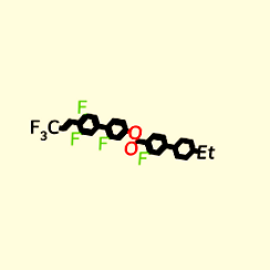 CCC1CCC(c2ccc(C(=O)Oc3ccc(-c4cc(F)c(/C=C/C(F)(F)F)c(F)c4)c(F)c3)c(F)c2)CC1